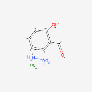 Cl.NN.O=Cc1ccccc1O